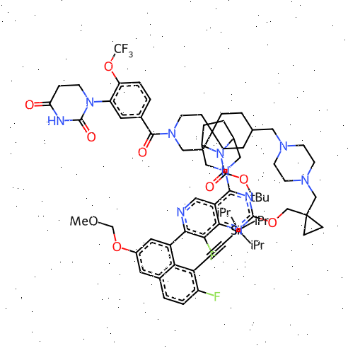 COCOc1cc(-c2ncc3c(N4CC5CCC(C4)N5C(=O)OC(C)(C)C)nc(OCC4(CN5CCN(CC6CCC7(CC6)CCN(C(=O)c6ccc(OC(F)(F)F)c(N8CCC(=O)NC8=O)c6)CC7)CC5)CC4)nc3c2F)c2c(C#C[Si](C(C)C)(C(C)C)C(C)C)c(F)ccc2c1